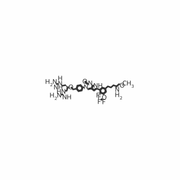 COC[C@H](N)CCCc1cc(OC(F)(F)F)c(F)c(-c2cc3cn(-c4ccc(CO[C@H](CCNC(=N)N)CNC(=N)N)cc4)c(=O)nc3[nH]2)c1